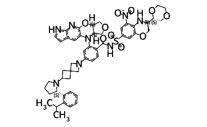 CC(C)c1ccccc1[C@@H]1CCCN1C1CC2(C1)CN(c1ccc(C(=O)NS(=O)(=O)c3cc4c(c([N+](=O)[O-])c3)N[C@@H]([C@H]3COCCO3)CO4)c(N3c4cc5cc[nH]c5nc4O[C@H]4COC[C@@H]43)c1)C2